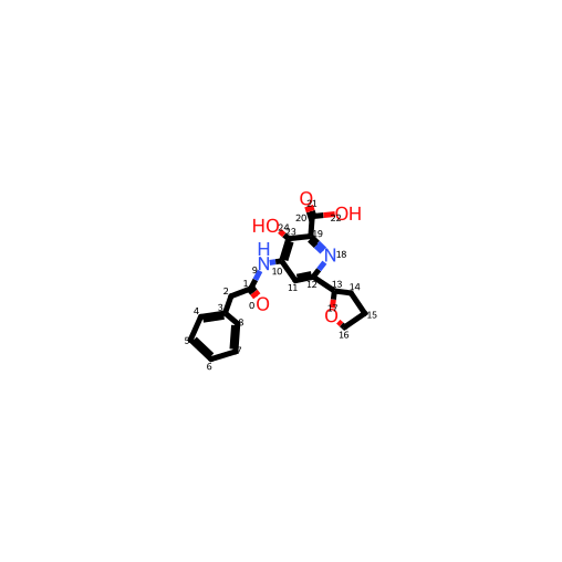 O=C(Cc1ccccc1)Nc1cc(C2CCCO2)nc(C(=O)O)c1O